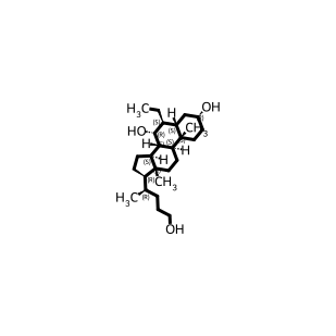 CC[C@@H]1[C@@H](O)[C@@H]2[C@H](CC[C@]3(C)[C@@H]([C@H](C)CCCO)CC[C@@H]23)[C@@]2(C)CC[C@@H](O)C[C@@H]12